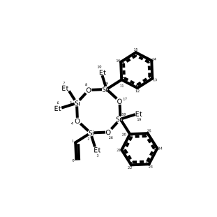 C=C[Si]1(CC)O[Si](CC)(CC)O[Si](CC)(c2ccccc2)O[Si](CC)(c2ccccc2)O1